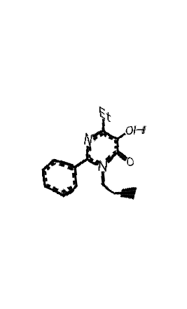 C#CCn1c(-c2ccccc2)nc(CC)c(O)c1=O